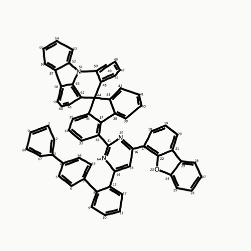 c1ccc(-c2ccc(-c3ccccc3-c3cc(-c4cccc5c4oc4ccccc45)nc(-c4cccc5c4-c4ccccc4C54c5ccccc5-n5c6ccccc6c6cccc4c65)n3)cc2)cc1